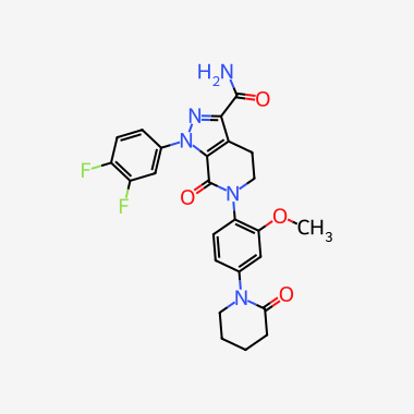 COc1cc(N2CCCCC2=O)ccc1N1CCc2c(C(N)=O)nn(-c3ccc(F)c(F)c3)c2C1=O